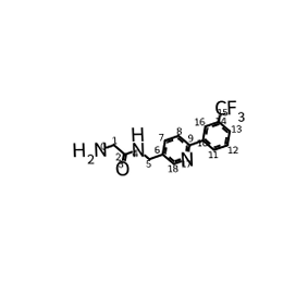 NCC(=O)NCc1ccc(-c2cccc(C(F)(F)F)c2)nc1